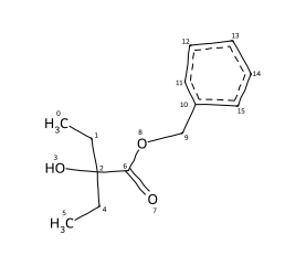 CCC(O)(CC)C(=O)OCc1ccccc1